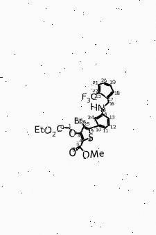 CCOC(=O)COc1c(C(=O)OC)sc(-c2cccc(NCc3ccccc3C(F)(F)F)c2)c1Br